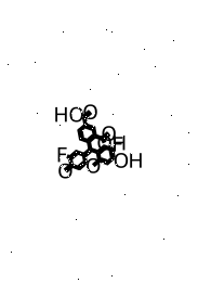 O=C(O)c1ccc(-c2c3cc(F)c(=O)cc-3oc3cc(O)c(F)cc23)c(C(=O)O)c1